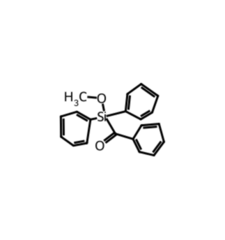 CO[Si](C(=O)c1ccccc1)(c1ccccc1)c1ccccc1